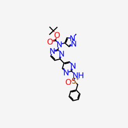 Cn1cc(N(C(=O)OC(C)(C)C)c2nccc(-c3cnc(N[S+]([O-])Cc4ccccc4)nc3)n2)cn1